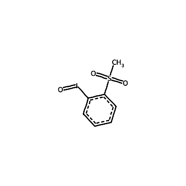 CS(=O)(=O)c1ccccc1I=O